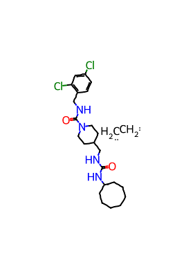 O=C(NCC1CCN(C(=O)NCc2ccc(Cl)cc2Cl)CC1)N[C]1CCCCCCC1.[CH2].[CH2]